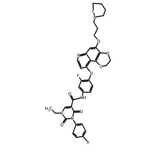 CCn1cc(C(=O)Nc2ccc(Oc3ccnc4cc(OCCCN5CCCCC5)c5c(c34)OCCO5)c(F)c2)c(=O)n(-c2ccc(F)cc2)c1=O